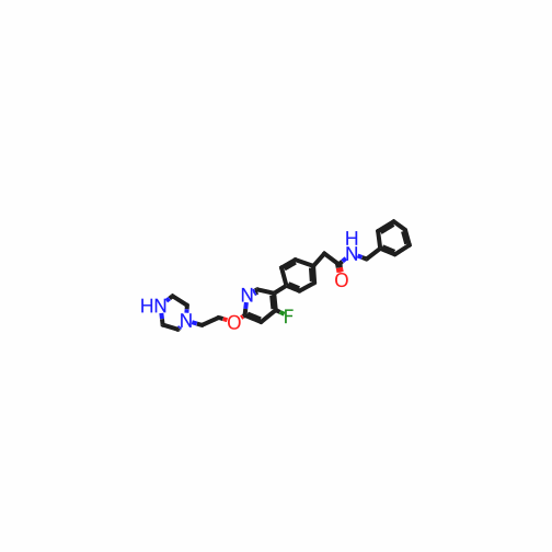 O=C(Cc1ccc(-c2cnc(OCCN3CCNCC3)cc2F)cc1)NCc1ccccc1